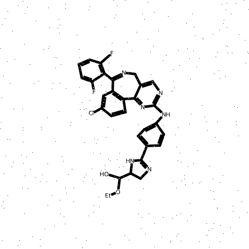 CCOC(O)C1CN=C(c2ccc(Nc3ncc4c(n3)-c3ccc(Cl)cc3C(c3c(F)cccc3F)=NC4)cc2)N1